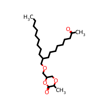 CCCCCCCCCC(CCCCCCCC(C)=O)COCC1COC(C)C(=O)O1